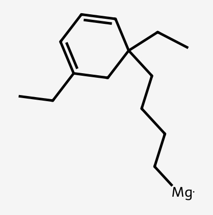 CCC1=CC=CC(CC)(CCC[CH2][Mg])C1